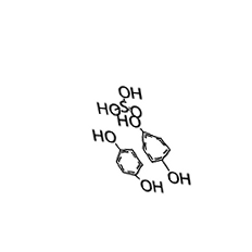 O=S(O)O.Oc1ccc(O)cc1.Oc1ccc(O)cc1